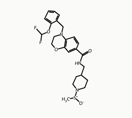 C[S+]([O-])N1CCC(CNC(=O)c2ccc3c(c2)OCCN3Cc2ccccc2OC(F)F)CC1